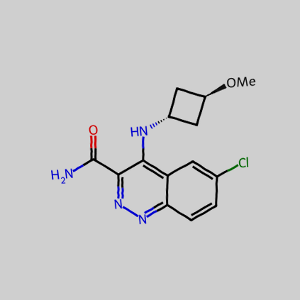 CO[C@H]1C[C@H](Nc2c(C(N)=O)nnc3ccc(Cl)cc23)C1